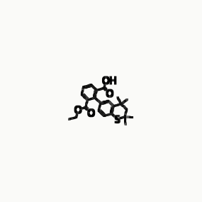 CCOC(=O)c1cccc(C(=O)O)c1-c1ccc2c(c1)C(C)(C)CC(C)(C)S2